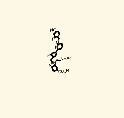 CC(=O)NCCn1c(Cc2ccc(-c3cccc(OCc4ccc(C#N)cc4F)n3)cc2F)nc2ccc(C(=O)O)cc21